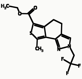 CCOC(=O)c1sc(C)c2c1CCc1cn(CC(F)(F)F)nc1-2